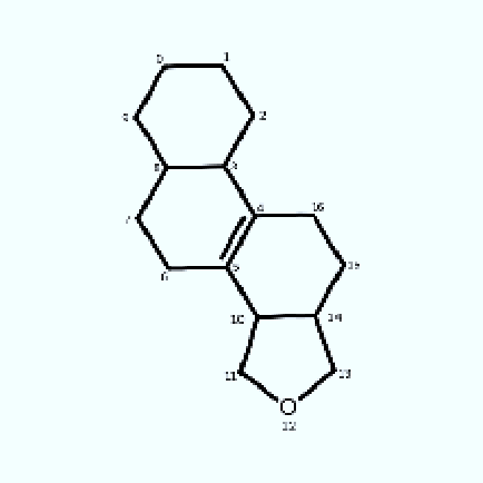 C1CCC2C3=C(CCC2C1)C1COCC1CC3